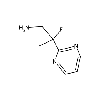 NCC(F)(F)c1ncccn1